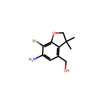 CC1(C)COc2c(Br)c(N)cc(CO)c21